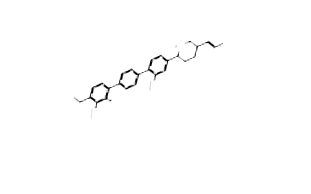 C/C=C/C1CCC(c2ccc(-c3ccc(-c4ccc(CC)c(F)c4F)cc3)c(F)c2)OC1